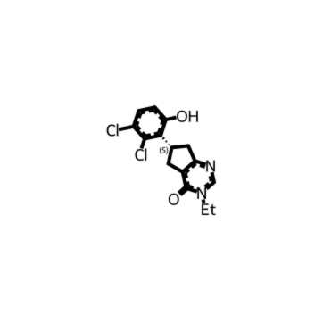 CCn1cnc2c(c1=O)C[C@H](c1c(O)ccc(Cl)c1Cl)C2